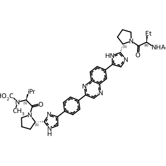 CC[C@@H](NC(C)=O)C(=O)N1CCC[C@H]1c1ncc(-c2ccc3nc(-c4ccc(-c5c[nH]c([C@@H]6CCCN6C(=O)[C@H](C(C)C)N(C)C(=O)O)n5)cc4)cnc3c2)[nH]1